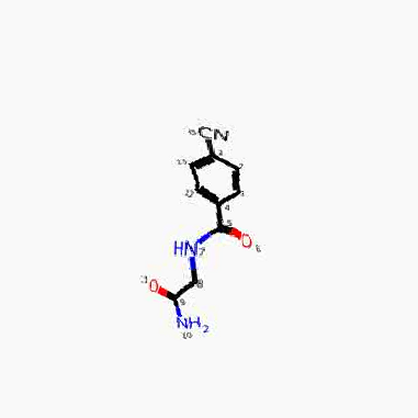 N#Cc1ccc(C(=O)NCC(N)=O)cc1